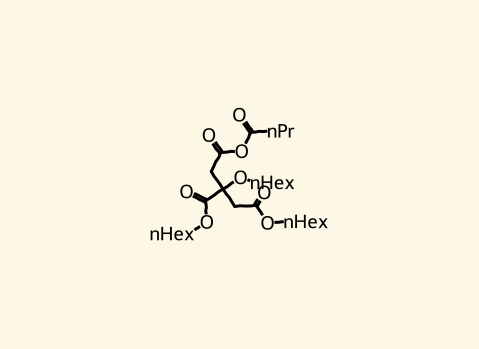 CCCCCCOC(=O)CC(CC(=O)OC(=O)CCC)(OCCCCCC)C(=O)OCCCCCC